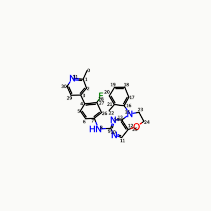 Cc1cc(-c2ccc(Nc3ncc4c(n3)N(c3ccccc3C)CCO4)cc2F)ccn1